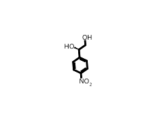 O=[N+]([O-])c1ccc([C@@H](O)CO)cc1